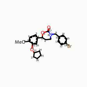 COc1ccc(C2CCN(Cc3ccc(Br)cc3)C(=O)O2)cc1OC1CCCC1